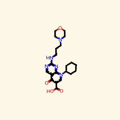 O=C(O)c1cn(C2CCCCC2)c2nc(NCCCN3CCOCC3)ncc2c1=O